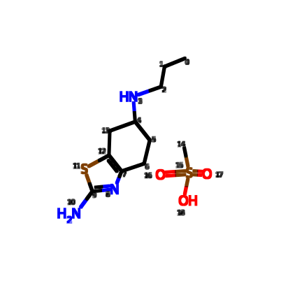 CCCNC1CCc2nc(N)sc2C1.CS(=O)(=O)O